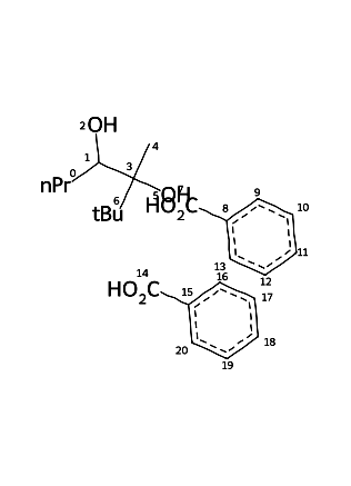 CCCC(O)C(C)(O)C(C)(C)C.O=C(O)c1ccccc1.O=C(O)c1ccccc1